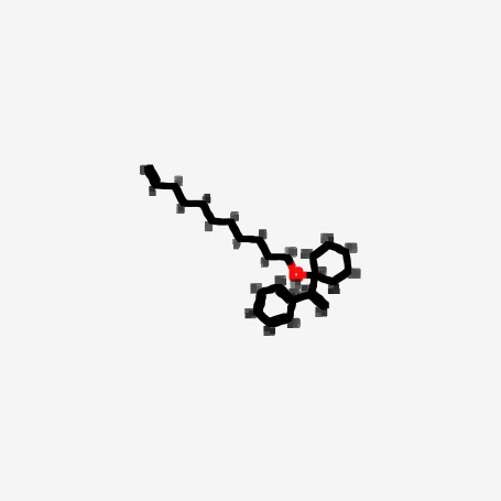 C=CCCCCCCCCCOC1(C(=C)c2ccccc2)CCCCC1